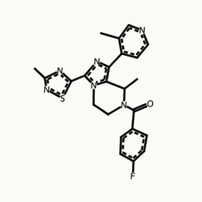 Cc1nsc(-c2nc(-c3ccncc3C)c3n2CCN(C(=O)c2ccc(F)cc2)C3C)n1